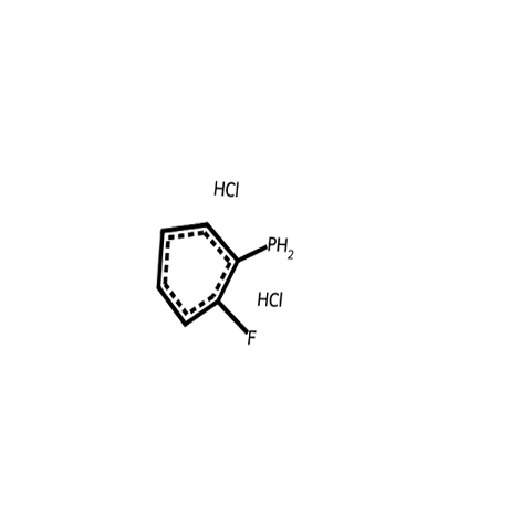 Cl.Cl.Fc1ccccc1P